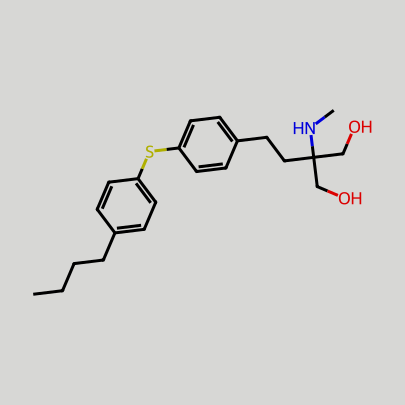 CCCCc1ccc(Sc2ccc(CCC(CO)(CO)NC)cc2)cc1